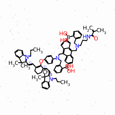 C=C(C)C(=O)NCCCN(Cc1ccccc1B(O)O)Cc1c2ccccc2c(CN(Cc2ccccc2B(O)O)c2ccc(OC3=C(/C=C/C4=[N+](CCC)c5ccccc5C4(C)C)CCC/C3=C\C=C3\N(CCC)c4ccccc4C3(C)C)cc2)c2ccccc12